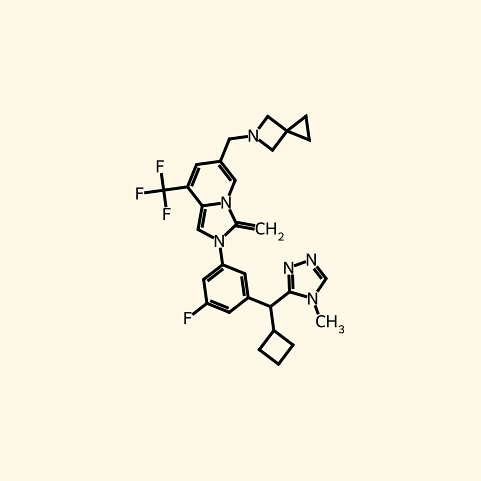 C=C1N2C=C(CN3CC4(CC4)C3)C=C(C(F)(F)F)C2=CN1c1cc(F)cc(C(c2nncn2C)C2CCC2)c1